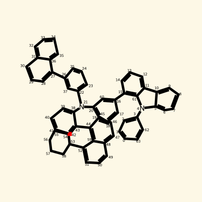 c1ccc(-n2c3ccccc3c3cccc(-c4cccc(N(c5cccc(-c6cccc7ccccc67)c5)c5ccccc5-c5cccc6cccc(C7CCCCC7)c56)c4)c32)cc1